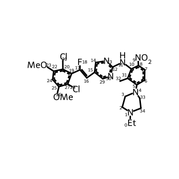 CCN1CCN(c2ccc([N+](=O)[O-])c(Nc3ncc(/C=C(\F)c4c(Cl)c(OC)cc(OC)c4Cl)cn3)c2C)CC1